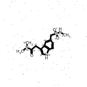 CNS(=O)(=O)Cc1ccc2[nH]cc(CC(=O)N(C)C)c2c1